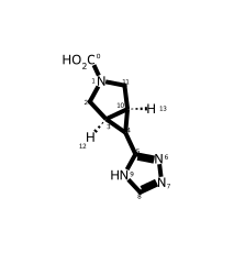 O=C(O)N1C[C@@H]2C(c3nnc[nH]3)[C@@H]2C1